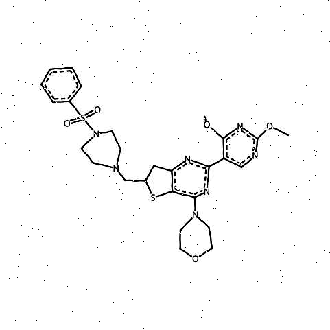 COc1ncc(-c2nc3c(c(N4CCOCC4)n2)SC(CN2CCN(S(=O)(=O)c4ccccc4)CC2)C3)c(OC)n1